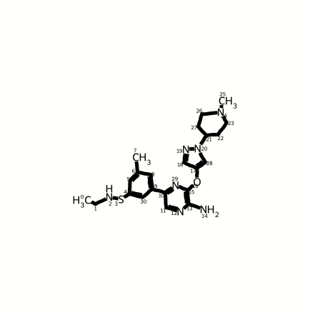 CCNSc1cc(C)cc(-c2cnc(N)c(Oc3cnn(C4CCN(C)CC4)c3)n2)c1